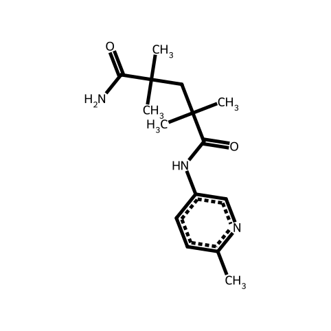 Cc1ccc(NC(=O)C(C)(C)CC(C)(C)C(N)=O)cn1